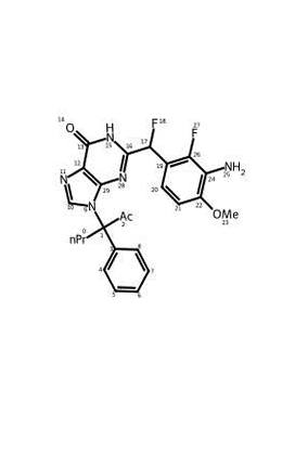 CCCC(C(C)=O)(c1ccccc1)n1cnc2c(=O)[nH]c(C(F)c3ccc(OC)c(N)c3F)nc21